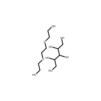 OCC(O)C(O)C(O)CO.OCCOCCOCCO